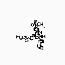 C=CC(=O)N1CC[C@]2(C1)C[C@H](n1c(NC(=O)c3ccc(-c4cnco4)s3)nc3cc(N(C)C(=O)C(C)C)ccc31)C2